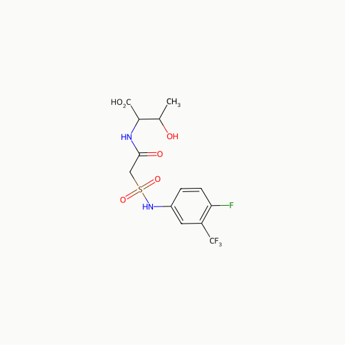 CC(O)C(NC(=O)CS(=O)(=O)Nc1ccc(F)c(C(F)(F)F)c1)C(=O)O